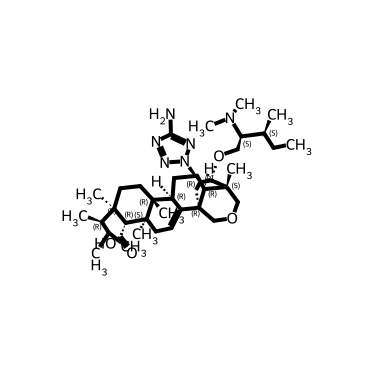 CC[C@H](C)[C@@H](CO[C@H]1[C@H](n2nnc(N)n2)C[C@@]23COC[C@]1(C)[C@@H]2CC[C@H]1C3=CC[C@@]2(C)[C@H](C(=O)O)[C@@](C)([C@H](C)C(C)C)CC[C@]12C)N(C)C